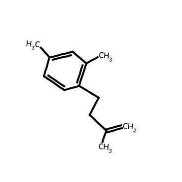 C=C(C)CCc1ccc(C)cc1C